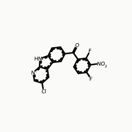 O=C(c1ccc2[nH]c3ncc(Cl)cc3c2c1)c1ccc(F)c([N+](=O)[O-])c1F